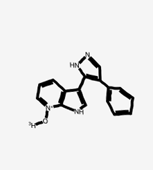 [3H]O[n+]1cccc2c(-c3[nH]ncc3-c3ccccc3)c[nH]c21